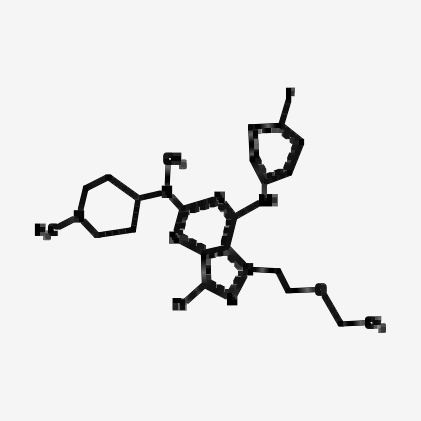 CCc1nn(CCOCC(F)(F)F)c2c(Nc3ccc(F)cc3)nc(N(C)C3CCN(C)CC3)nc12